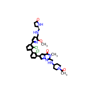 COc1nc(-c2cccc(-c3cccc(-c4cc5c(=O)n(C)c(CNC6CCN(C(C)=O)CC6)nn5c4)c3Cl)c2Cl)ccc1CNC[C@H]1CCC(=O)N1